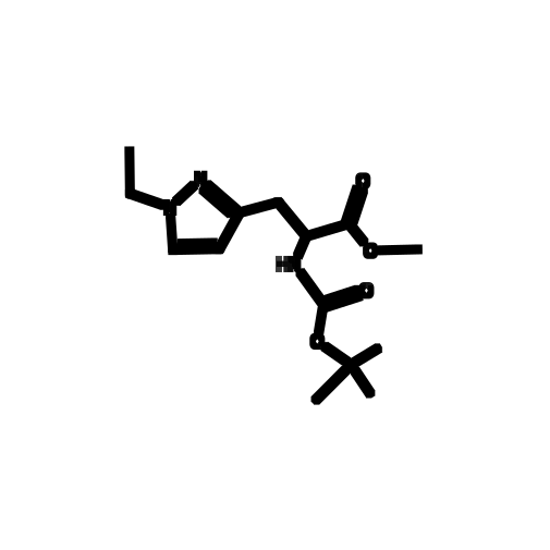 CCn1ccc(CC(NC(=O)OC(C)(C)C)C(=O)OC)n1